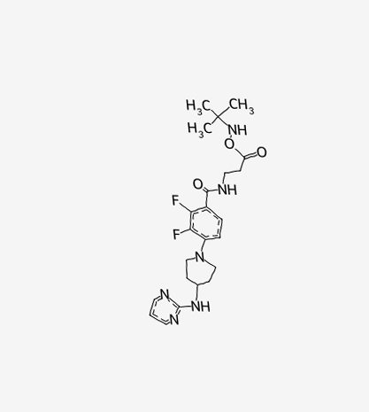 CC(C)(C)NOC(=O)CCNC(=O)c1ccc(N2CCC(Nc3ncccn3)CC2)c(F)c1F